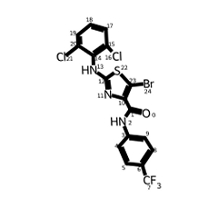 O=C(Nc1ccc(C(F)(F)F)cc1)c1nc(Nc2c(Cl)cccc2Cl)sc1Br